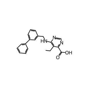 CCc1c(NCc2cccc(-c3ccccc3)c2)ncnc1C(=O)O